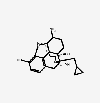 NC1CC[C@@]2(O)[C@H]3Cc4ccc(O)c5c4[C@@]2(CCN3CC2CC2)[C@H]1O5